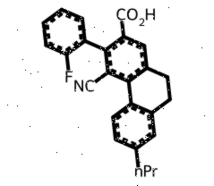 CCCc1ccc2c(c1)CCc1cc(C(=O)O)c(-c3ccccc3F)c(C#N)c1-2